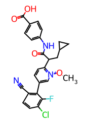 CO[n+]1cc(-c2c(C#N)ccc(Cl)c2F)ccc1C(CC1CC1)C(=O)Nc1ccc(C(=O)O)cc1